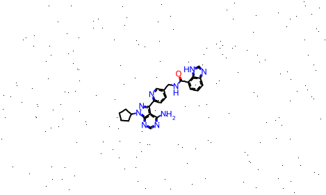 Nc1ncnc2c1c(-c1ccc(CNC(=O)c3cccc4nc[nH]c34)cn1)nn2C1CCCC1